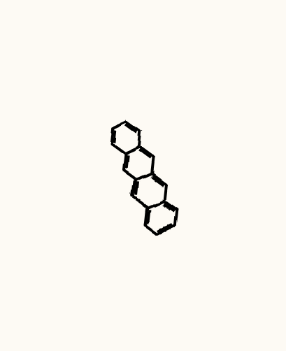 [c]1[c]c2cc3cc4ccccc4cc3cc2cc1